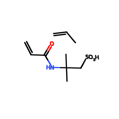 C=CC.C=CC(=O)NC(C)(C)CS(=O)(=O)O